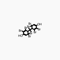 CC(C)(C1C(Br)=C(Br)C(O)=CC1(Br)Br)C1C(Br)=C(Br)C(O)=CC1(Br)Br